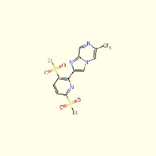 CCS(=O)(=O)c1ccc(S(=O)(=O)CC)c(-c2cn3cc(C(F)(F)F)ncc3n2)n1